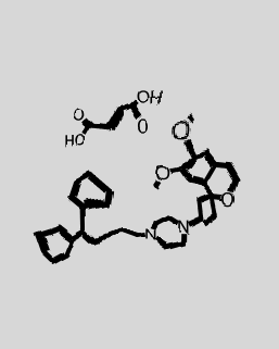 CCC1(CCN2CCN(CCCC(c3ccccc3)c3ccccc3)CC2)OCCc2cc(OC)c(OC)cc21.O=C(O)C=CC(=O)O